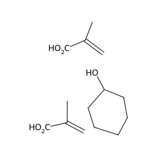 C=C(C)C(=O)O.C=C(C)C(=O)O.OC1CCCCC1